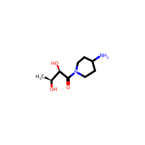 C[C@H](O)[C@@H](O)C(=O)N1CCC(N)CC1